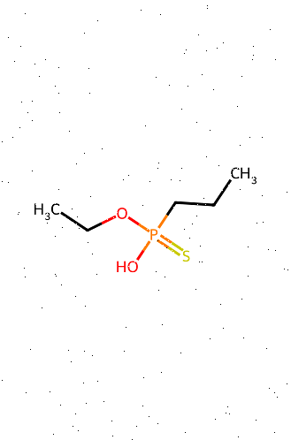 CCCP(O)(=S)OCC